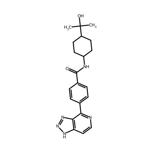 CC(C)(O)C1CCC(NC(=O)c2ccc(-c3nccc4[nH]nnc34)cc2)CC1